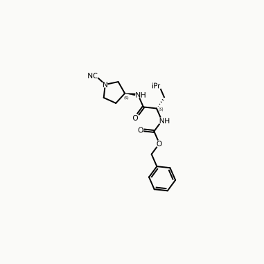 CC(C)C[C@H](NC(=O)OCc1ccccc1)C(=O)N[C@H]1CCN(C#N)C1